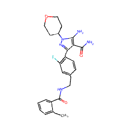 Cc1ccccc1C(=O)NCc1ccc(-c2nn(C3CCOCC3)c(N)c2C(N)=O)c(F)c1